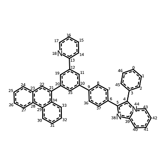 c1ccc(-c2c(-c3ccc(-c4cc(-c5ccccn5)cc(-c5cc6ccccc6c6ccccc56)c4)cc3)nc3ccccn23)cc1